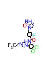 NC(=O)[C@@H]1CCCN1Cc1ccc(C(=O)Nc2cc(Cl)c(Cl)cc2N2CCN(CCC(F)(F)F)CC2)c(F)c1